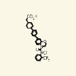 O=C(O)CC1CCC(c2ccc(-c3ccc4c(c3)OCCN4C(=O)N(Cl)c3ccccc3C(F)(F)F)cc2)CC1